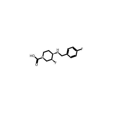 O=C(O)N1CC[C@@H](NCc2ccc(F)cc2)[C@@H](F)C1